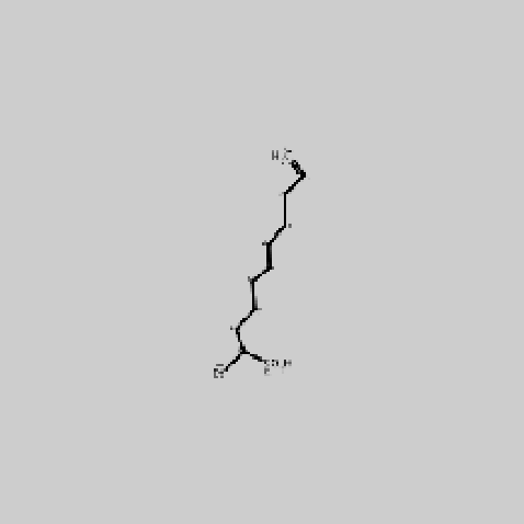 C=CCCCCCCCC(CC)S(=O)(=O)O